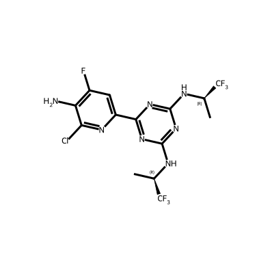 C[C@@H](Nc1nc(N[C@H](C)C(F)(F)F)nc(-c2cc(F)c(N)c(Cl)n2)n1)C(F)(F)F